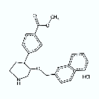 COC(=O)c1ccc(C2CCNCC2OCc2ccc3ccccc3c2)cc1.Cl